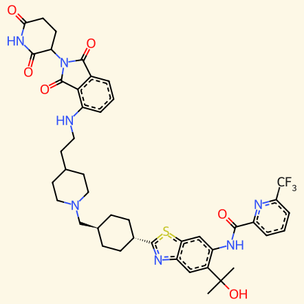 CC(C)(O)c1cc2nc([C@H]3CC[C@H](CN4CCC(CCNc5cccc6c5C(=O)N(C5CCC(=O)NC5=O)C6=O)CC4)CC3)sc2cc1NC(=O)c1cccc(C(F)(F)F)n1